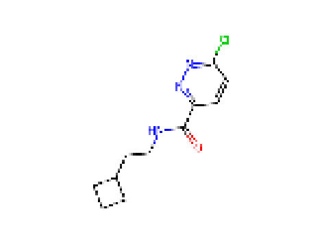 O=C(NCCC1CCC1)c1ccc(Cl)nn1